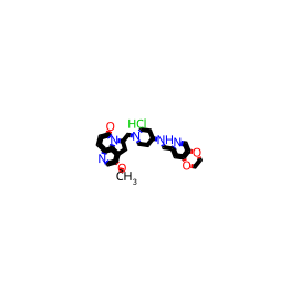 COc1cnc2ccc(=O)n3c2c1CC3CN1CCC(NCc2cc3c(cn2)OCCO3)CC1.Cl